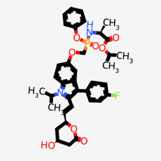 CC(C)OC(=O)[C@H](C)NP(=O)(COc1ccc2c(c1)c(-c1ccc(F)cc1)c(/C=C/[C@@H]1C[C@@H](O)CC(=O)O1)n2C(C)C)Oc1ccccc1